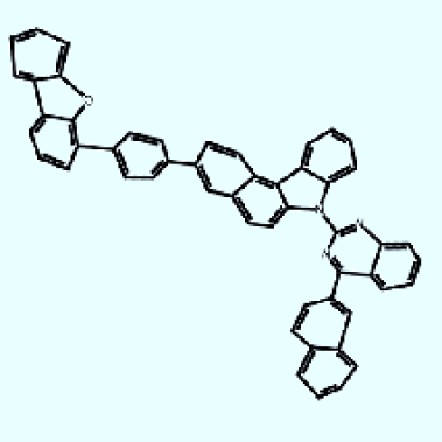 c1ccc2cc(-c3nc(-n4c5ccccc5c5c6ccc(-c7ccc(-c8cccc9c8oc8ccccc89)cc7)cc6ccc54)nc4ccccc34)ccc2c1